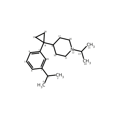 CC(C)c1cccc(C2(C3CCN(C(C)C)CC3)CC2)c1